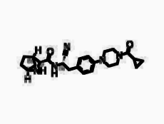 N#C[C@H](Cc1ccc(N2CCN(C(=O)C3CC3)CC2)cc1)NC(=O)[C@H]1N[C@@H]2CC[C@H]1C2